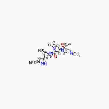 C=NC[C@@]1(C2CC2)CCN(c2cc(C)nc(C(=O)NCc3cc(C#N)cc(/C(C=N)=C/NC)c3)c2)C1=O